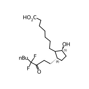 CCCCC(F)(F)C(=O)CC[C@H]1CC[C@H](O)C1CCCCCCC(=O)O